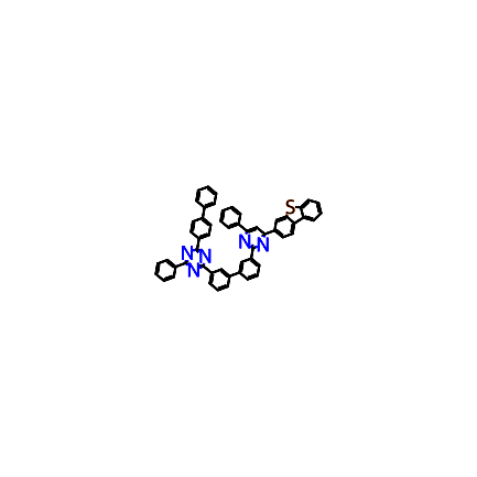 c1ccc(-c2ccc(-c3nc(-c4ccccc4)nc(-c4cccc(-c5cccc(-c6nc(-c7ccccc7)cc(-c7ccc8c(c7)sc7ccccc78)n6)c5)c4)n3)cc2)cc1